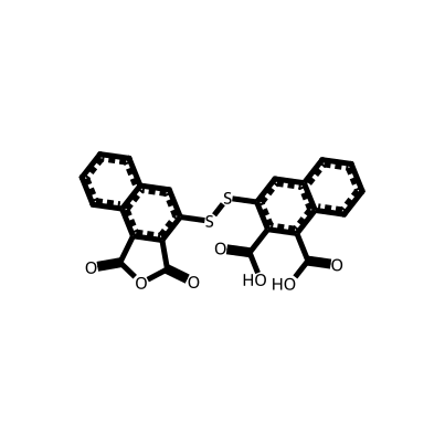 O=C(O)c1c(SSc2cc3ccccc3c3c2C(=O)OC3=O)cc2ccccc2c1C(=O)O